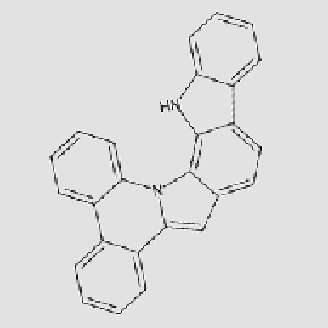 c1ccc2c(c1)[nH]c1c2ccc2cc3c4ccccc4c4ccccc4n3c21